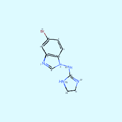 Brc1ccc2c(c1)ncn2NC1=NCCN1